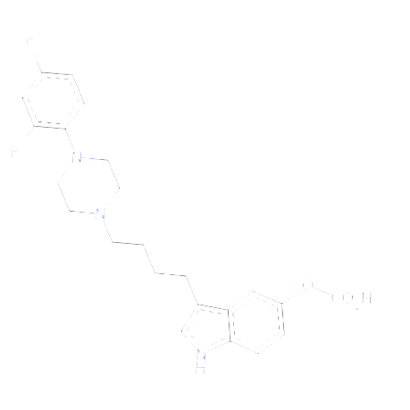 O=C(O)Oc1ccc2[nH]cc(CCCCN3CCN(c4ccc(F)cc4F)CC3)c2c1